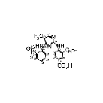 CC(C)Oc1cc(C(=O)O)ccc1Nc1ncc(C(F)(F)F)c(Nc2ccccc2P(C)(C)=O)n1